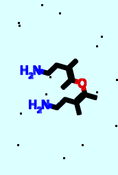 CC(CCN)=C(C)OC(C)=C(C)CCN